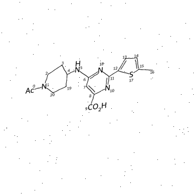 CC(=O)N1CCC(Nc2cc(C(=O)O)nc(-c3ccc(C)s3)n2)CC1